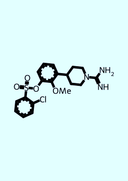 COc1c(OS(=O)(=O)c2ccccc2Cl)cccc1C1CCN(C(=N)N)CC1